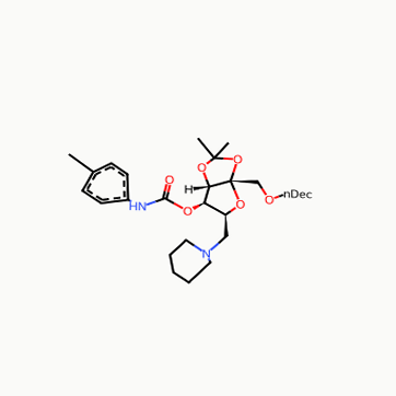 CCCCCCCCCCOC[C@@]12O[C@@H](CN3CCCCC3)[C@@H](OC(=O)Nc3ccc(C)cc3)[C@@H]1OC(C)(C)O2